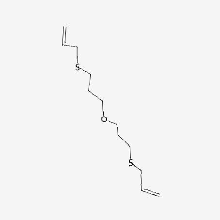 C=CCSCCCOCCCSCC=C